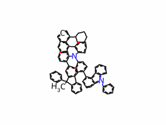 CC1(c2ccccc2)c2ccccc2-c2ccc(-c3ccccc3N(c3ccc(-c4cccc5c4c4ccccc4n5-c4ccccc4)cc3)c3ccccc3-c3cccc4cccc(C5CCCCC5)c34)cc21